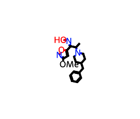 COc1cc(/C(=N\O)C(C)N2CCC(Cc3ccccc3)CC2)on1